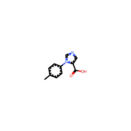 Cc1ccc(-n2cncc2C(=O)O)cc1